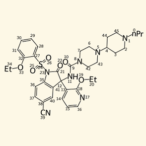 CCCN1CCC(N2CCN(C(=O)NC3(c4cccnc4OCC)C(=O)N(S(=O)(=O)c4ccccc4OCC)c4ccc(C#N)cc43)CC2)CC1